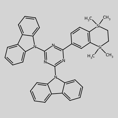 C[Si]1(C)CC[Si](C)(C)c2cc(-c3nc(-n4c5ccccc5c5ccccc54)nc(-n4c5ccccc5c5ccccc54)n3)ccc21